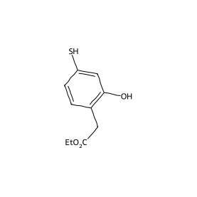 CCOC(=O)Cc1ccc(S)cc1O